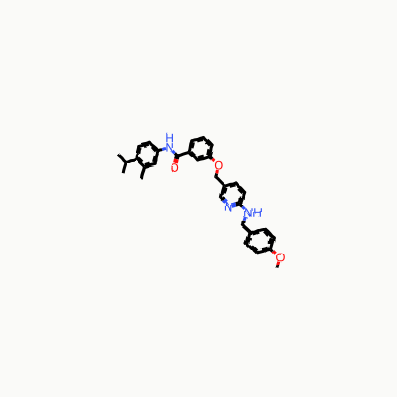 COc1ccc(CNc2ccc(COc3cccc(C(=O)Nc4ccc(C(C)C)c(C)c4)c3)cn2)cc1